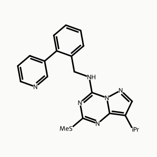 CSc1nc(NCc2ccccc2-c2cccnc2)n2ncc(C(C)C)c2n1